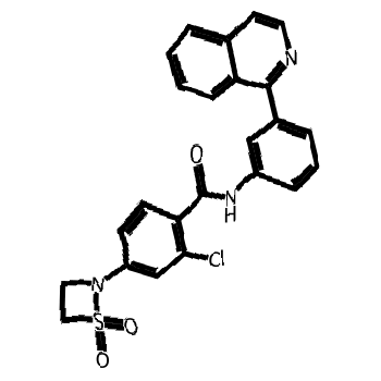 O=C(Nc1cccc(-c2nccc3ccccc23)c1)c1ccc(N2CCS2(=O)=O)cc1Cl